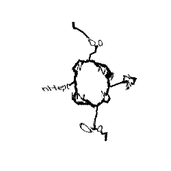 C=CCOC(=O)CCc1c2nc(c(-c3nccn3C)c3ccc([nH]3)c(CCC(=O)OCC=C)c3nc(c(CCCCCCC)c4ccc1[nH]4)C=C3)C=C2